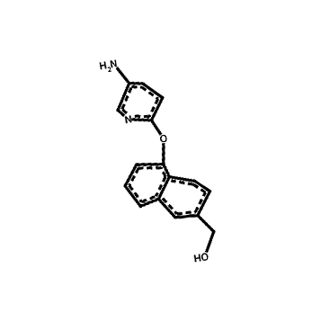 Nc1ccc(Oc2cccc3cc(CO)ccc23)nc1